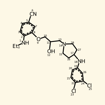 CCNc1ccc(C#N)cc1OCC(O)CN1CCC(Nc2ccc(Cl)c(Cl)c2)CC1